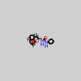 C[C@H]1[C@@H](CNC(=O)Nc2ccccc2)O[C@@H]2O[C@@]3(C)CC[C@H]4[C@H](C)CC[C@@H]1[C@@]24OO3